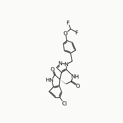 O=C1C[C@]2(C(=O)Nc3ccc(Cl)cc32)c2cnn(Cc3ccc(OC(F)F)cc3)c2N1